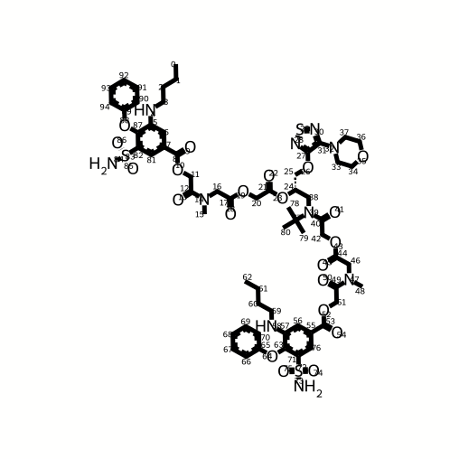 CCCCNc1cc(C(=O)OCC(=O)N(C)CC(=O)OCC(=O)O[C@H](COc2nsnc2N2CCOCC2)CN(C(=O)COC(=O)CN(C)C(=O)COC(=O)c2cc(NCCCC)c(Oc3ccccc3)c(S(N)(=O)=O)c2)C(C)(C)C)cc(S(N)(=O)=O)c1Oc1ccccc1